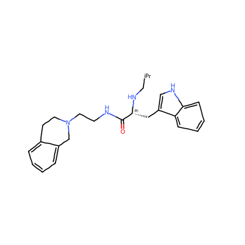 CC(C)CN[C@H](Cc1c[nH]c2ccccc12)C(=O)NCCN1CCc2ccccc2C1